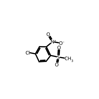 CS(=O)(=O)c1ccc(Cl)cc1[N+](=O)[O-]